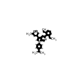 CCc1cccc(CC)c1-c1cc2c(C(CO)CC(C)C)cn(-c3ccc(C(C)C)cc3)c2cn1